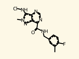 Cc1cc(CNC(=O)c2ncnc3c(NCl)n(C)nc23)ccc1F